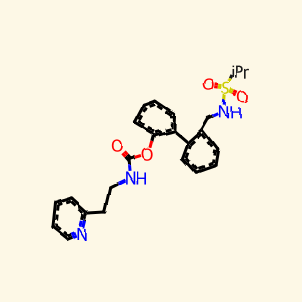 CC(C)S(=O)(=O)NCc1ccccc1-c1ccccc1OC(=O)NCCc1ccccn1